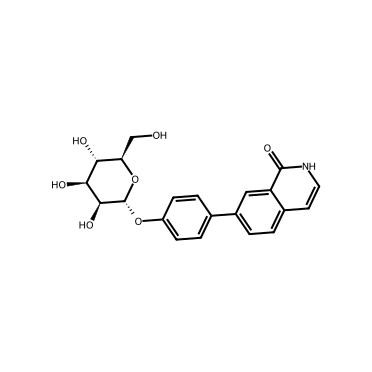 O=c1[nH]ccc2ccc(-c3ccc(O[C@H]4O[C@H](CO)[C@@H](O)[C@H](O)[C@@H]4O)cc3)cc12